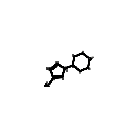 CC(=O)c1cn(C2CCOCC2)cn1